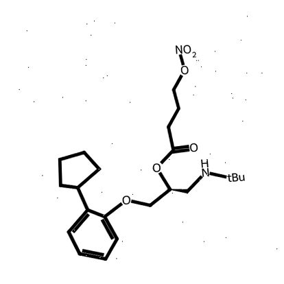 CC(C)(C)NC[C@@H](COc1ccccc1C1CCCC1)OC(=O)CCCO[N+](=O)[O-]